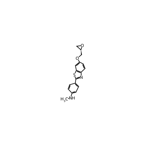 CNc1ccc(-c2nc3ccc(OC[C@H]4CO4)cc3s2)cc1